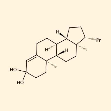 CC(C)[C@H]1CC[C@H]2[C@@H]3CCC4=CC(O)(O)CC[C@]4(C)[C@H]3CC[C@]12C